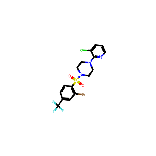 O=S(=O)(c1ccc(C(F)(F)F)cc1Br)N1CCN(c2ncccc2Cl)CC1